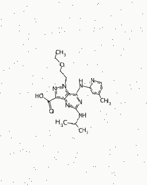 CCOCCn1nc(C(=O)O)c2nc(NC(C)C)nc(Nc3cc(C)ccn3)c21